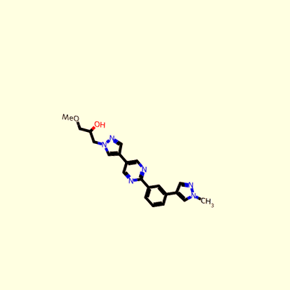 COCC(O)Cn1cc(-c2cnc(-c3cccc(-c4cnn(C)c4)c3)nc2)cn1